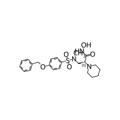 CN(C[C@@H](C(=O)NO)N1CCCCC1)S(=O)(=O)c1ccc(OCc2ccccc2)cc1